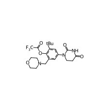 CC(C)(C)c1cc(N2CCC(=O)NC2=O)cc(CN2CCOCC2)c1OC(=O)C(F)(F)F